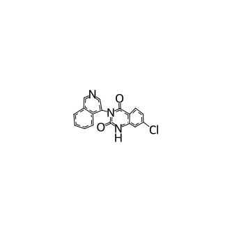 O=c1[nH]c2cc(Cl)ccc2c(=O)n1-c1cncc2ccccc12